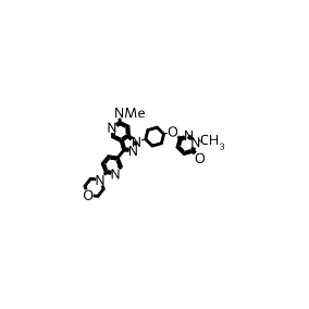 CNc1cc2c(cn1)c(-c1ccc(N3CCOCC3)nc1)nn2[C@H]1CC[C@@H](Oc2ccc(=O)n(C)n2)CC1